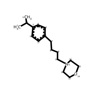 CC(C)c1ccc(CCCCN2CCOCC2)cc1